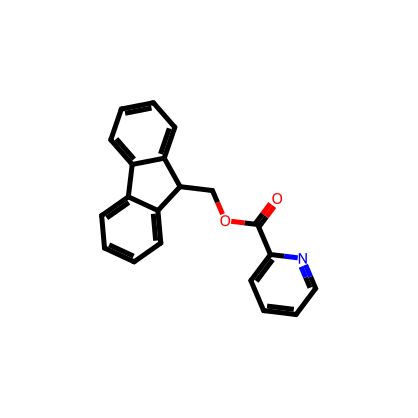 O=C(OCC1c2ccccc2-c2ccccc21)c1ccccn1